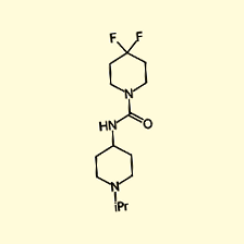 CC(C)N1CCC(NC(=O)N2CCC(F)(F)CC2)CC1